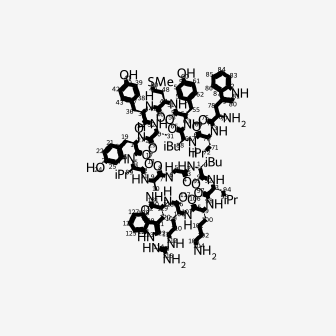 CC[C@@H](C)[C@@H](NC(=O)CNC(=O)[C@@H](C)NC(=O)[C@H](NC(=O)[C@@H](Cc1ccc(O)cc1)NC(=O)[C@@H](C)NC(=O)[C@@H](Cc1ccc(O)cc1)NC(=O)[C@@H](CCSC)NC(=O)[C@@H](Cc1ccc(O)cc1)NC(=O)[C@H](NC(=O)[C@@H](CC(C)C)NC(=O)[C@H](N)Cc1c[nH]c2ccccc12)[C@H](C)CC)C(C)C)C(=O)N[C@H](CC(C)C)C(=O)N[C@H](CCCCN)C(=O)N[C@H](CCCNC(=N)N)C(=O)N[C@H](Cc1c[nH]c2ccccc12)C(N)=O